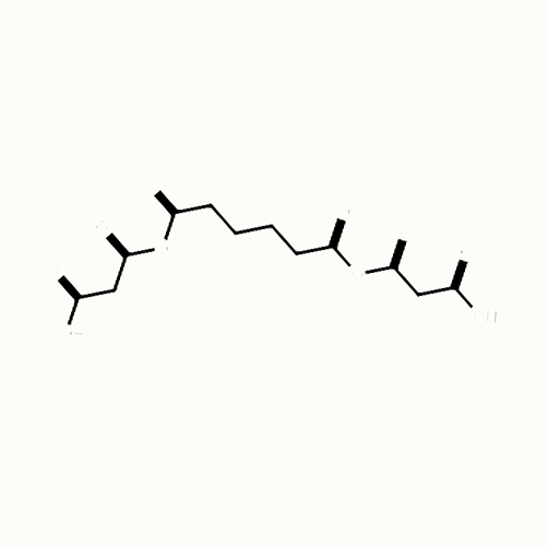 O=C(O)CC(=O)OC(=O)CCCCC(=O)OC(=O)CC(=O)O